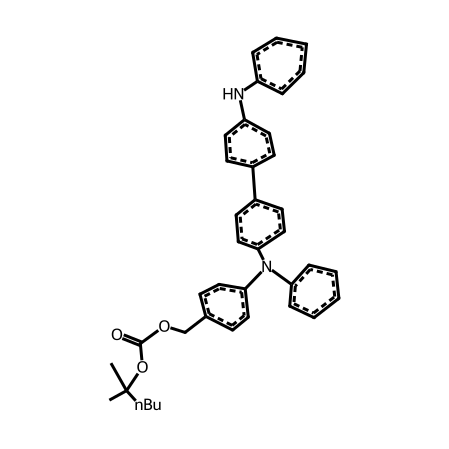 CCCCC(C)(C)OC(=O)OCc1ccc(N(c2ccccc2)c2ccc(-c3ccc(Nc4ccccc4)cc3)cc2)cc1